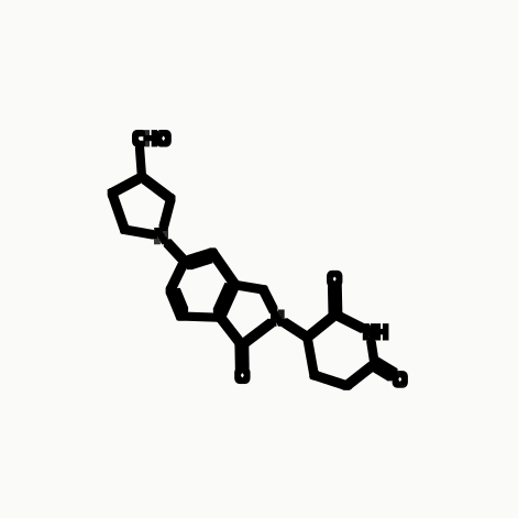 O=CC1CCN(c2ccc3c(c2)CN(C2CCC(=O)NC2=O)C3=O)C1